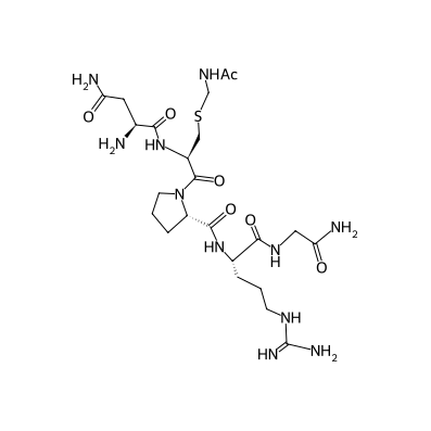 CC(=O)NCSC[C@H](NC(=O)[C@@H](N)CC(N)=O)C(=O)N1CCC[C@H]1C(=O)N[C@@H](CCCNC(=N)N)C(=O)NCC(N)=O